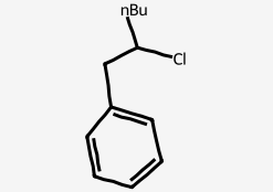 CCCCC(Cl)Cc1ccccc1